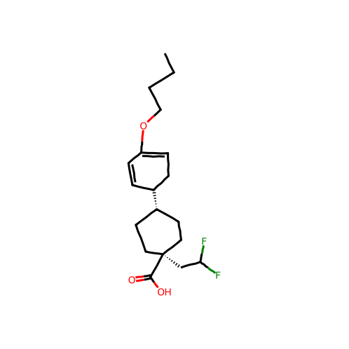 CCCCOC1=CCC([C@H]2CC[C@](CC(F)F)(C(=O)O)CC2)C=C1